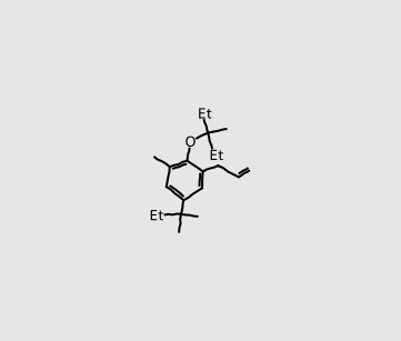 C=CCc1cc(C(C)(C)CC)cc(C)c1OC(C)(CC)CC